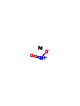 O=[NH+][O-].[Pd]